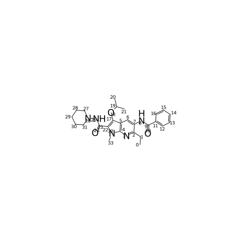 CCc1nc2c(cc1NC(=O)c1ccccc1)c(OC(C)C)c(C(=O)NN1CCCCC1)n2C